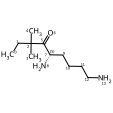 CCC(C)(C)C(=O)[C@@H](N)CCCCN